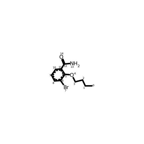 CCCCOc1c(Br)cccc1C(N)=O